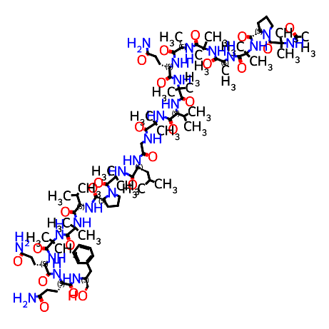 CC(=O)NC(C)(C)C(=O)N1CCC[C@H]1C(=O)NC(C)(C)C(=O)N[C@@H](C)C(=O)NC(C)(C)C(=O)N[C@@H](C)C(=O)N[C@@H](CCC(N)=O)C(=O)NC(C)(C)C(=O)N[C@H](C(=O)NC(C)(C)C(=O)NCC(=O)N[C@@H](CC(C)C)C(=O)NC(C)(C)C(=O)N1CCC[C@H]1C(=O)N[C@H](C(=O)NC(C)(C)C(=O)NC(C)(C)C(=O)N[C@@H](CCC(N)=O)C(=O)N[C@@H](CCC(N)=O)C(=O)N[C@H](CO)Cc1ccccc1)C(C)C)C(C)C